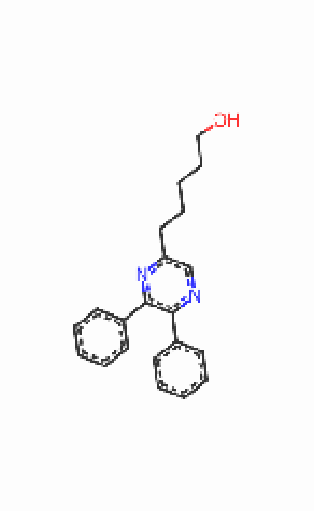 OCCCCCc1cnc(-c2ccccc2)c(-c2ccccc2)n1